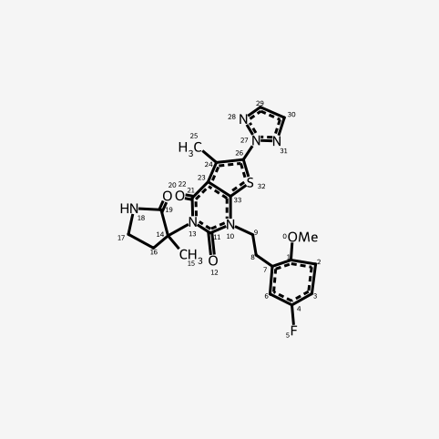 COc1ccc(F)cc1CCn1c(=O)n(C2(C)CCNC2=O)c(=O)c2c(C)c(-n3nccn3)sc21